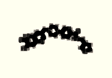 CCc1cc2ncc(CN3CCN(c4ccc(C(=O)NCC5CCOC5)nc4)CC3)cc2[nH]c1=O